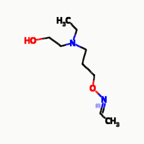 C/C=N/OCCCN(CC)CCO